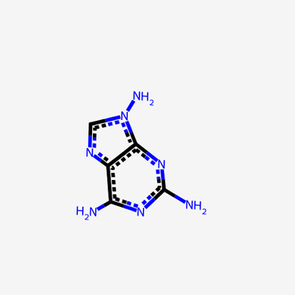 Nc1nc(N)c2ncn(N)c2n1